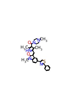 Cc1[nH]c(/C=C2\C(=O)N(C)c3ccc(-c4csc(-c5ccccc5)n4)cc32)c(C)c1C(=O)N1CCN(C)CC1